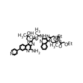 CCOCC(=O)NC(C)(C)Cn1c(COCC)nc2c(NC(C)OCc3nc4c(N)nc5cc(-c6ccncc6)ccc5c4n3CC(C)(C)O)nc3ccccc3c21